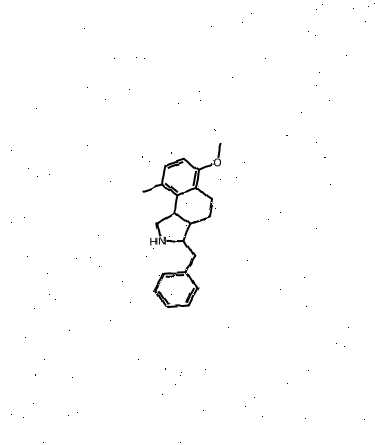 COc1ccc(C)c2c1CCC1C(Cc3ccccc3)NCC21